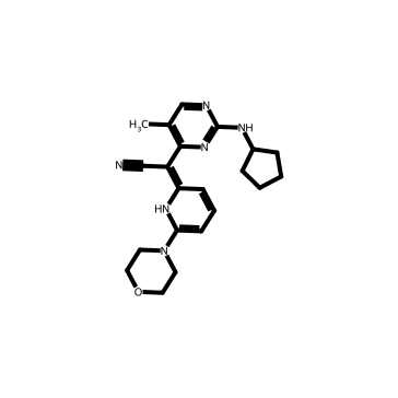 Cc1cnc(NC2CCCC2)nc1C(C#N)=C1C=CC=C(N2CCOCC2)N1